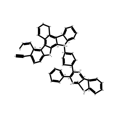 C#Cc1ccc2sc3c(c4c(c5c6ccccc6n(-c6ccc(-c7nc8c(nc7-c7ccccc7)sc7ccccc78)cc6)c35)CCC=C4)c2c1/C=C\C